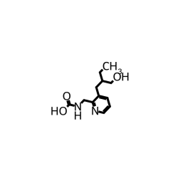 CCC(CO)Cc1cccnc1CNC(=O)O